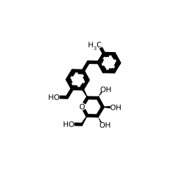 Cc1ccccc1Cc1ccc(CO)c([C@@H]2O[C@H](CO)[C@@H](O)[C@H](O)[C@H]2O)c1